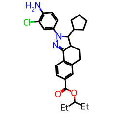 CCC(CC)OC(=O)c1ccc2c(c1)CCC1C2=NN(c2ccc(N)c(Cl)c2)C1C1CCCC1